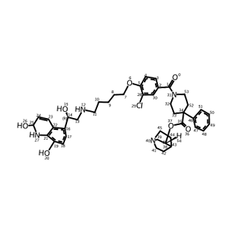 O=C(c1ccc(OCCCCCNC[C@H](O)c2ccc(O)c3c2C=CC(O)N3)c(Cl)c1)N1CCC(C(=O)O[C@H]2CN3CCC2CC3)(c2ccccc2)CC1